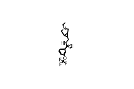 CCN1CC2C(CNC(=O)c3cccc(OC(F)(F)F)c3)C2C1.Cl